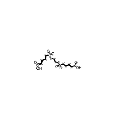 O=S(O)CCCCS(=O)(=O)SCCSS(=O)(=O)CCCCS(=O)O